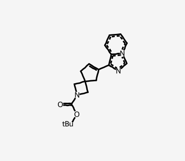 CC(C)(C)OC(=O)N1CC2(CC=C(c3ncn4ccccc34)C2)C1